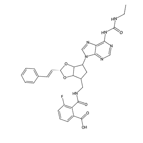 CCNC(=O)Nc1ncnc2c1ncn2C1CC(CNC(=O)c2c(F)cccc2C(=O)O)C2O[C@H](/C=C/c3ccccc3)OC21